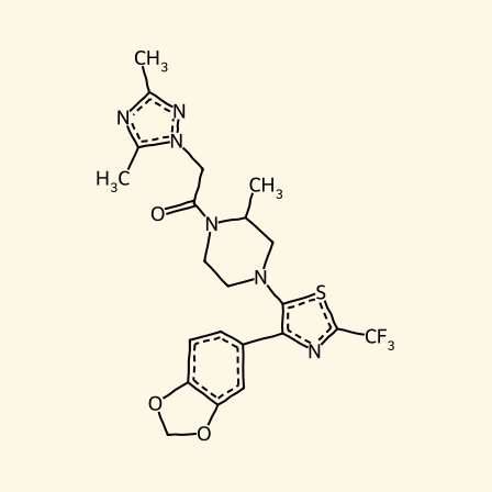 Cc1nc(C)n(CC(=O)N2CCN(c3sc(C(F)(F)F)nc3-c3ccc4c(c3)OCO4)CC2C)n1